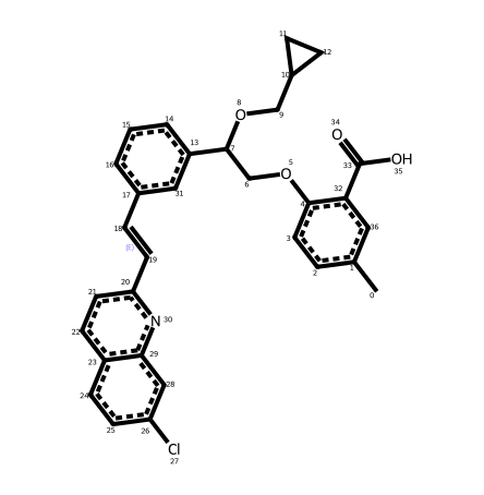 Cc1ccc(OCC(OCC2CC2)c2cccc(/C=C/c3ccc4ccc(Cl)cc4n3)c2)c(C(=O)O)c1